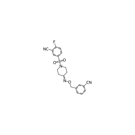 N#Cc1cccc(CON=C2CCN(S(=O)(=O)c3ccc(F)c(C#N)c3)CC2)c1